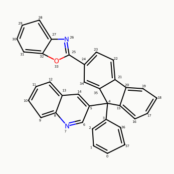 c1ccc(C2(c3cnc4ccccc4c3)c3ccccc3-c3ccc(-c4nc5ccccc5o4)cc32)cc1